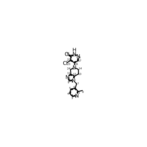 Cc1ncccc1Cn1cnc2c1CCN(c1cn[nH]c(=O)c1Cl)C2